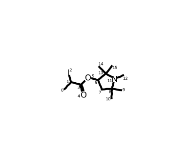 CC(I)C(=O)OC1CC(C)(C)N(C)C1(C)C